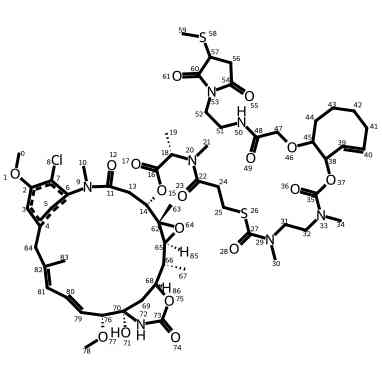 COc1cc2cc(c1Cl)N(C)C(=O)C[C@H](OC(=O)[C@H](C)N(C)C(=O)CCSC(=O)N(C)CCN(C)C(=O)OC1/C=C/CCCCC1OCC(=O)NCCN1C(=O)CC(SC)C1=O)[C@]1(C)O[C@H]1[C@H](C)[C@@H]1C[C@@](O)(NC(=O)O1)[C@H](OC)/C=C/C=C(\C)C2